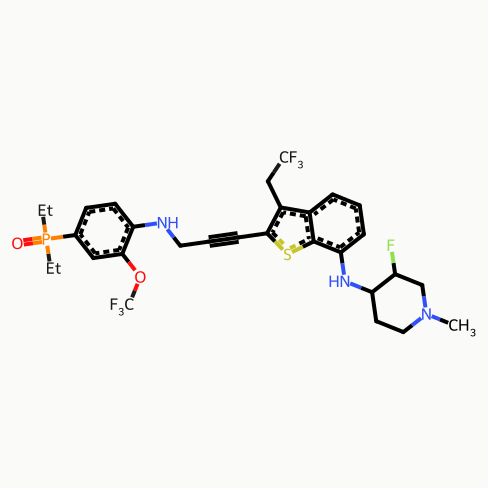 CCP(=O)(CC)c1ccc(NCC#Cc2sc3c(NC4CCN(C)CC4F)cccc3c2CC(F)(F)F)c(OC(F)(F)F)c1